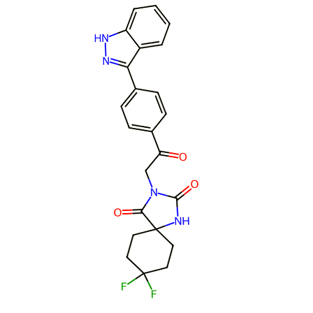 O=C(CN1C(=O)NC2(CCC(F)(F)CC2)C1=O)c1ccc(-c2n[nH]c3ccccc23)cc1